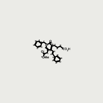 COC(=O)Cc1cn(Cc2ccccc2)c(=O)c(CCCC(=O)O)c1C=Cc1ccccc1